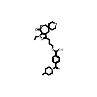 CCn1nc(CCCOC(O)c2ccc(C(=O)N3CCC(C)CC3)cc2)c2c1C(=O)NCC1(CCOCC1)C2